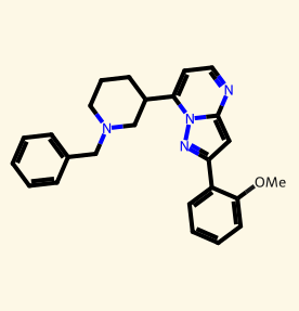 COc1ccccc1-c1cc2nccc(C3CCCN(Cc4ccccc4)C3)n2n1